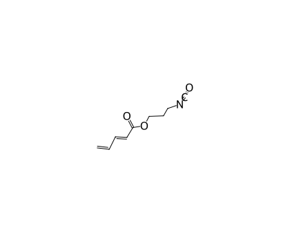 C=C/C=C/C(=O)OCCCN=C=O